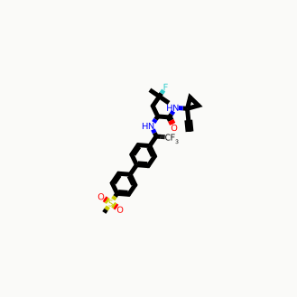 C#CC1(NC(=O)C(CC(C)(C)F)NC(c2ccc(-c3ccc(S(C)(=O)=O)cc3)cc2)C(F)(F)F)CC1